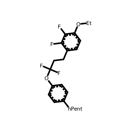 CCCCCc1ccc(OC(F)(F)CCc2ccc(OCC)c(F)c2F)cc1